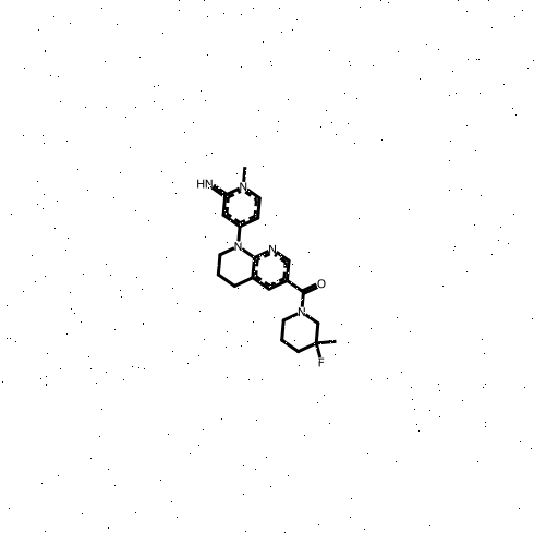 Cn1ccc(N2CCCc3cc(C(=O)N4CCCC(C)(F)C4)cnc32)cc1=N